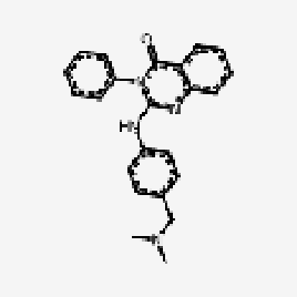 CN(C)Cc1ccc(Nc2nc3ccccc3c(=O)n2-c2ccccc2)cc1